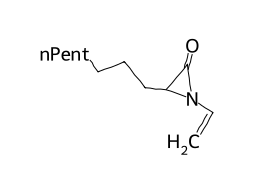 C=CN1C(=O)C1CCCCCCCC